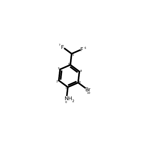 Nc1ccc(C(F)F)cc1Br